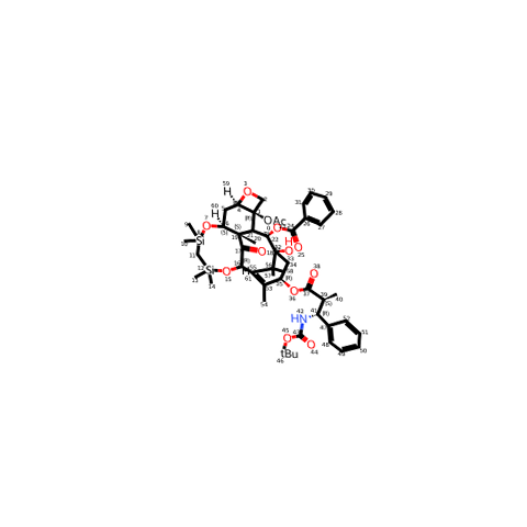 CC(=O)O[C@]12CO[C@@H]1C[C@@H]1O[Si](C)(C)C[Si](C)(C)O[C@H]3C(=O)[C@@]1(C)C2[C@@H](OC(=O)c1ccccc1)[C@]1(O)C[C@@H](OC(=O)[C@@H](C)[C@@H](NC(=O)OC(C)(C)C)c2ccccc2)C(C)=C3C1(C)C